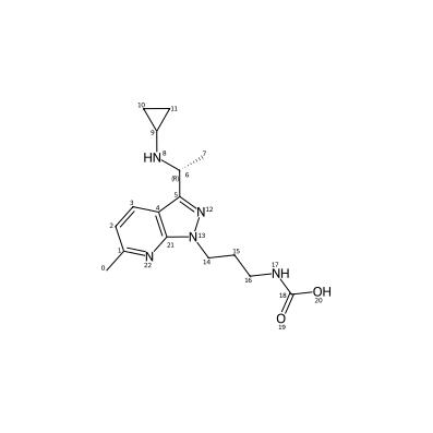 Cc1ccc2c([C@@H](C)NC3CC3)nn(CCCNC(=O)O)c2n1